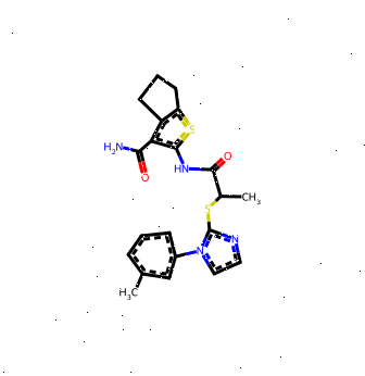 Cc1cccc(-n2ccnc2SC(C)C(=O)Nc2sc3c(c2C(N)=O)CCC3)c1